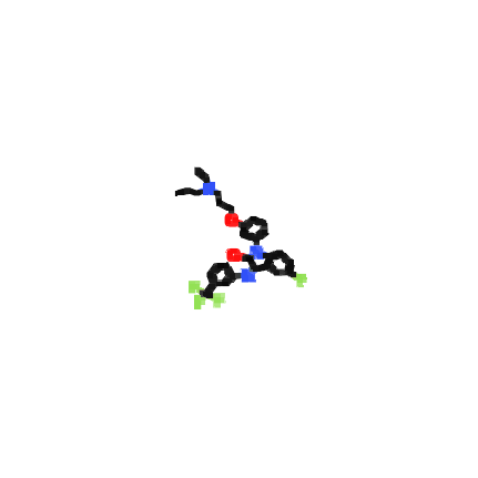 CCCN(CC)CCCOc1cccc(N2C(=O)C(=Nc3cccc(C(F)(F)F)c3)c3cc(F)ccc32)c1